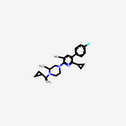 C=C(C1CC1)N1CCN(c2nc(C3CC3)c(-c3ccc(F)cc3)cc2C#N)CC1C